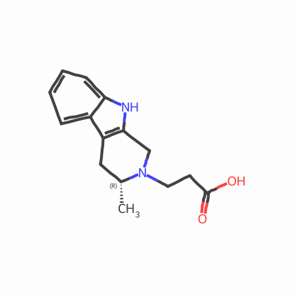 C[C@@H]1Cc2c([nH]c3ccccc23)CN1CCC(=O)O